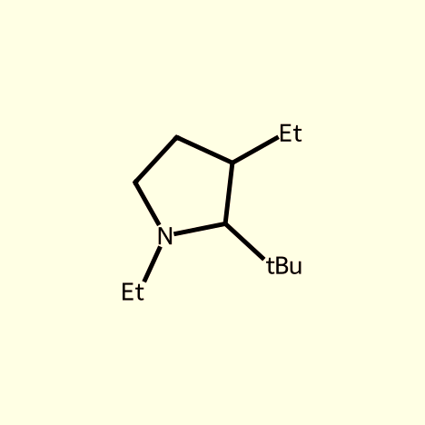 CCC1CCN(CC)C1C(C)(C)C